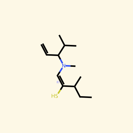 C=CC(C(C)C)N(C)/C=C(/S)C(C)CC